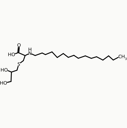 CCCCCCCCCCCCCCCCNC(CSCC(O)CO)C(=O)O